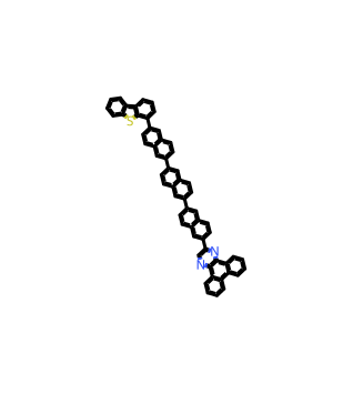 c1ccc2c(c1)sc1c(-c3ccc4cc(-c5ccc6cc(-c7ccc8cc(-c9cnc%10c%11ccccc%11c%11ccccc%11c%10n9)ccc8c7)ccc6c5)ccc4c3)cccc12